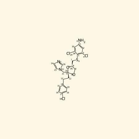 Nc1cc(Cl)c(SC[C@H]2CO[C@](CCc3ccc(Cl)cc3)(Cn3ccnc3)O2)c(Cl)c1